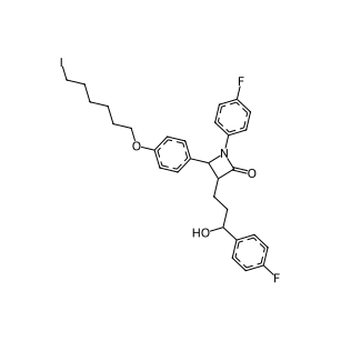 O=C1C(CCC(O)c2ccc(F)cc2)C(c2ccc(OCCCCCCI)cc2)N1c1ccc(F)cc1